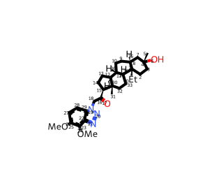 CC[C@]12CC[C@@](C)(O)C[C@@H]1CC[C@H]1[C@@H]3CC[C@H](C(=O)Cn4nnc5c(OC)c(OC)ccc54)[C@@]3(C)CC[C@@H]12